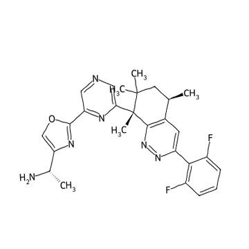 C[C@H](N)c1coc(-c2cncc([C@@]3(C)c4nnc(-c5c(F)cccc5F)cc4[C@H](C)CC3(C)C)n2)n1